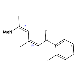 C=C(/C=C(C)\C=C(\C)NC)c1ccccc1C